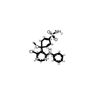 COC1(c2c(Cl)ncnc2Nc2ccccc2)C=CC(S(N)(=O)=O)=CC1